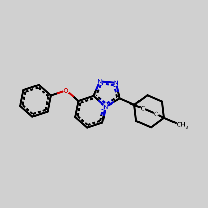 CC12CCC(c3nnc4c(Oc5ccccc5)cccn34)(CC1)CC2